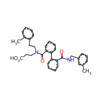 Cc1cccc(CNC(=O)c2ccccc2-c2ccccc2C(=O)N(CCC(=O)O)CCc2ccccc2C)c1